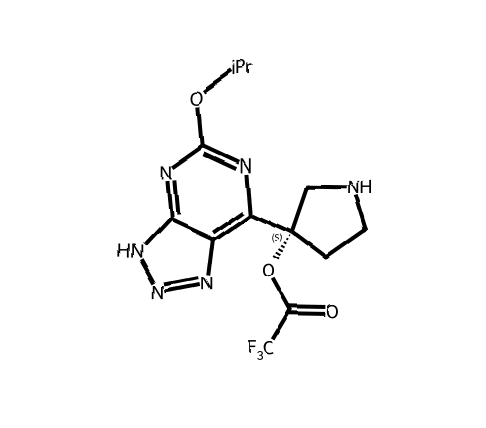 CC(C)Oc1nc([C@]2(OC(=O)C(F)(F)F)CCNC2)c2nn[nH]c2n1